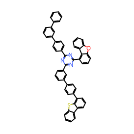 c1ccc(-c2cccc(-c3ccc(-c4nc(-c5cccc(-c6ccc(-c7cccc8c7sc7ccccc78)cc6)c5)nc(-c5cccc6oc7ccccc7c56)n4)cc3)c2)cc1